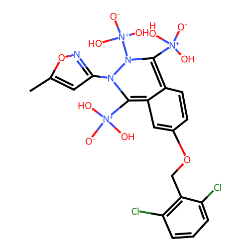 Cc1cc(N2C([N+]([O-])(O)O)=c3cc(OCc4c(Cl)cccc4Cl)ccc3=C([N+]([O-])(O)O)N2[N+]([O-])(O)O)no1